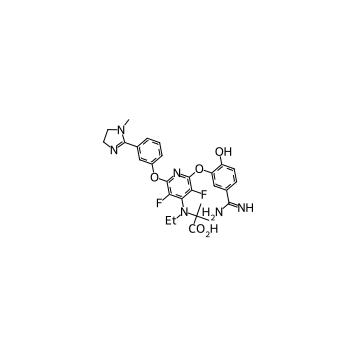 CCN(c1c(F)c(Oc2cccc(C3=NCCN3C)c2)nc(Oc2cc(C(=N)N)ccc2O)c1F)C(C)(C)C(=O)O